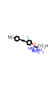 N#Cc1ccc(C#Cc2ccc(O/C(NN)=C(/N)C(=O)O)cc2F)cc1